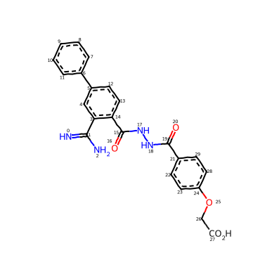 N=C(N)c1cc(-c2ccccc2)ccc1C(=O)NNC(=O)c1ccc(OCC(=O)O)cc1